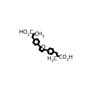 CC(=Cc1ccc(-c2ccc(-c3ccc(C=C(C)C(=O)O)cc3)o2)cc1)C(=O)O